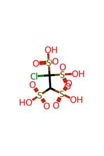 O=S(=O)(O)C(C(Cl)(S(=O)(=O)O)S(=O)(=O)O)S(=O)(=O)O